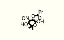 CC(C)C(=O)O[C@@H]1[C@H](O)OC(C)(C)C(O)[C@@H]1N=O